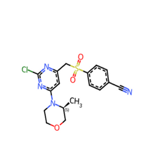 C[C@H]1COCCN1c1cc(CS(=O)(=O)c2ccc(C#N)cc2)nc(Cl)n1